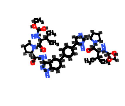 COC(=O)N[C@H](C(=O)N1CCC[C@H]1C(=O)Nc1n[nH]c2ccc(-c3ccc(-c4cnc([C@@H]5CCCN5C(=O)[C@@H](NC5OCO5)C(C)C)[nH]4)cc3)cc12)C(C)C